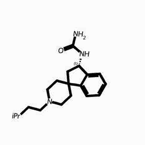 CC(C)CCN1CCC2(CC1)C[C@H](NC(N)=O)c1ccccc12